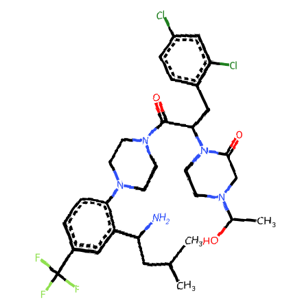 CC(C)CC(N)c1cc(C(F)(F)F)ccc1N1CCN(C(=O)C(Cc2ccc(Cl)cc2Cl)N2CCN(C(C)O)CC2=O)CC1